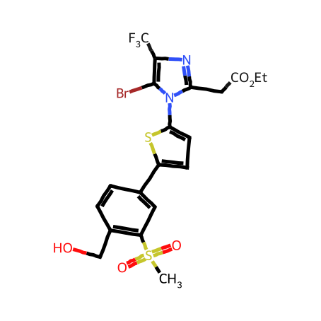 CCOC(=O)Cc1nc(C(F)(F)F)c(Br)n1-c1ccc(-c2ccc(CO)c(S(C)(=O)=O)c2)s1